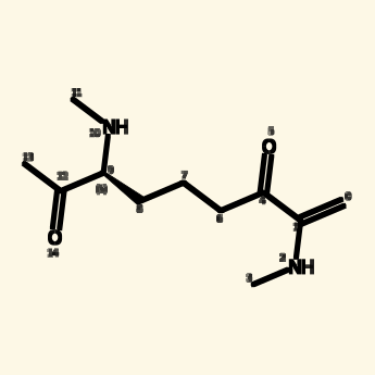 C=C(NC)C(=O)CCC[C@H](NC)C(C)=O